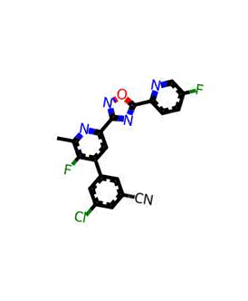 Cc1nc(-c2noc(-c3ccc(F)cn3)n2)cc(-c2cc(Cl)cc(C#N)c2)c1F